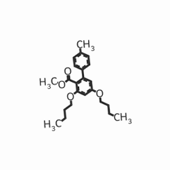 CCCCOc1cc(OCCCC)c(C(=O)OC)c(-c2ccc(C)cc2)c1